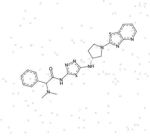 CN(C)C(C(=O)Nc1nnc(N[C@@H]2CCN(c3nc4ncccc4s3)C2)s1)c1ccccc1